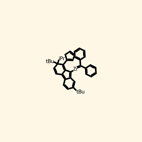 CC(C)C1(C(C)(C)C)C=CC2=c3ccc(C(C)(C)C)cc3=[C]([Zr]=[C](c3ccccc3)c3ccccc3)C2=C1C1=CC=CC1